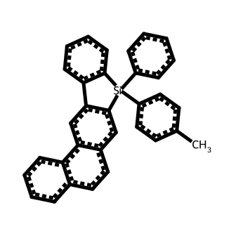 Cc1ccc([Si]2(c3ccccc3)c3ccccc3-c3cc4c(ccc5ccccc54)cc32)cc1